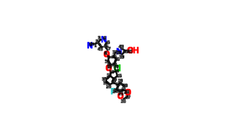 N#Cc1cncc(COc2cc(O[C@H]3CCc4c(-c5ccc6c(c5F)OCCO6)cccc43)c(Cl)cc2CN2CC(O)C2)c1